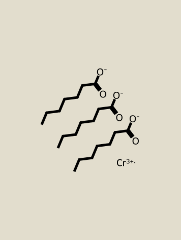 CCCCCCC(=O)[O-].CCCCCCC(=O)[O-].CCCCCCC(=O)[O-].[Cr+3]